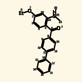 CCOc1ccc(C(=O)c2ccc(-c3ccccc3)cc2)c([SiH](C)C)c1